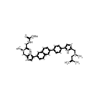 C=C(C)CN(C)Cc1ncc(-c2ccc(-c3ccc4cc(-c5cnc(CN(CCC)C(=O)CNC(=O)OC)[nH]5)ccc4c3)cc2)[nH]1